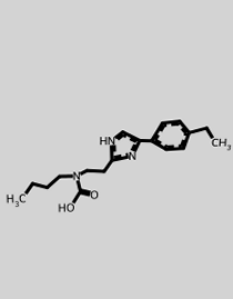 CCCCN(CCc1nc(-c2ccc(CC)cc2)c[nH]1)C(=O)O